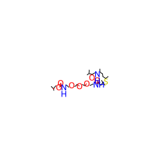 CC(C)COC(=O)NCCOCCOCCOCCNC(=O)CC(C)(C)SC(C)CCC(C)NCC(=O)C(C)C